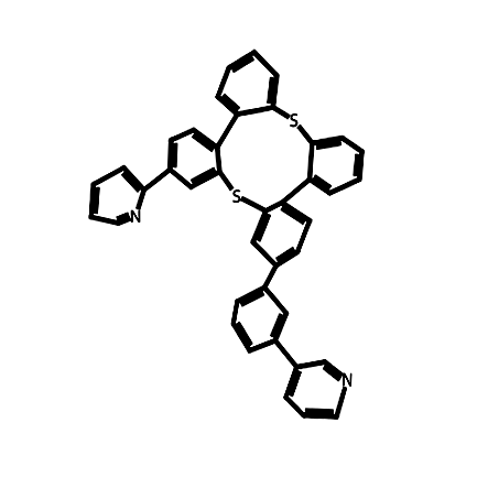 c1ccc(-c2ccc3c(c2)Sc2cc(-c4cccc(-c5cccnc5)c4)ccc2-c2ccccc2Sc2ccccc2-3)nc1